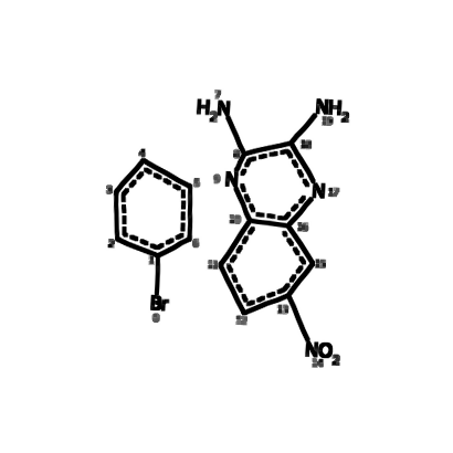 Brc1ccccc1.Nc1nc2ccc([N+](=O)[O-])cc2nc1N